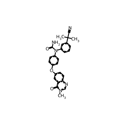 Cn1cnc2ccc(Oc3ccc(N(C(N)=O)c4cccc(C(C)(C)C#N)c4)cc3)cc2c1=O